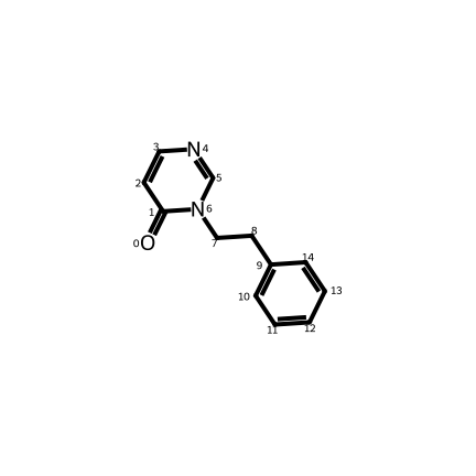 O=c1ccncn1CCc1ccccc1